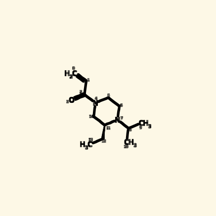 C=CC(=O)N1CCN(C(C)C)[C@@H](CC)C1